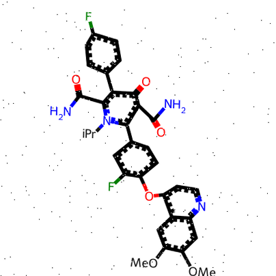 COc1cc2nccc(Oc3ccc(-c4c(C(N)=O)c(=O)c(-c5ccc(F)cc5)c(C(N)=O)n4C(C)C)cc3F)c2cc1OC